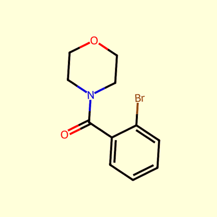 O=C(c1ccccc1Br)N1CCOCC1